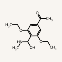 CCOc1cc(C(C)=O)cc(OCC)c1C(O)NC